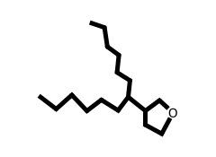 CCCCCCC(CCCCCC)C1CCOC1